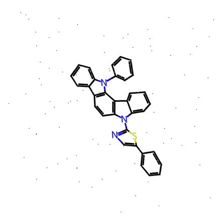 c1ccc(-c2cnc(-n3c4ccccc4c4c3ccc3c5ccccc5n(-c5ccccc5)c34)s2)cc1